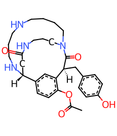 CC(=O)Oc1ccc2cc1[C@H](Cc1ccc(O)cc1)C(=O)N1CCCCNCCCN[C@@H]2CC(=O)NCCC1